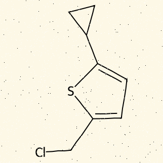 ClCc1ccc(C2CC2)s1